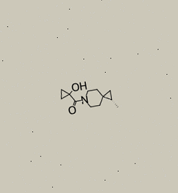 C[C@H]1CC12CCN(C(=O)C1(O)CC1)CC2